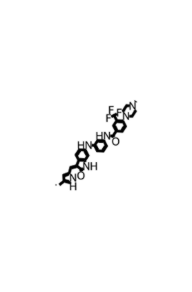 [CH2]c1c[nH]c(C=C2C(=O)Nc3cc(Nc4cccc(NC(=O)c5ccc(N6CCN(C)CC6)c(C(F)(F)F)c5)c4)ccc32)c1